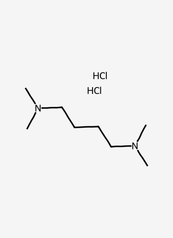 CN(C)CCCCN(C)C.Cl.Cl